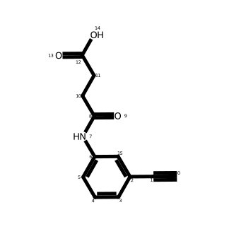 C#Cc1cccc(NC(=O)CCC(=O)O)c1